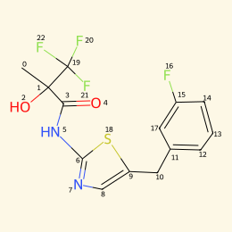 CC(O)(C(=O)Nc1ncc(Cc2cccc(F)c2)s1)C(F)(F)F